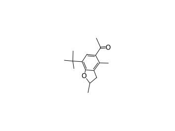 CC(=O)c1cc(C(C)(C)C)c2c(c1C)CC(C)O2